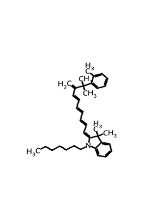 C=C(/C=C/C=C/C=C/C=C1/N(CCCCCCC)c2ccccc2C1(C)C)C(C)(C)c1ccccc1C